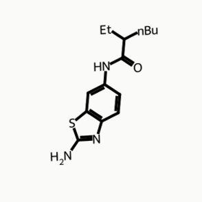 CCCCC(CC)C(=O)Nc1ccc2nc(N)sc2c1